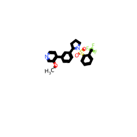 COc1cnccc1-c1cccc(C2CCCN2S(=O)(=O)c2ccccc2C(F)(F)F)c1